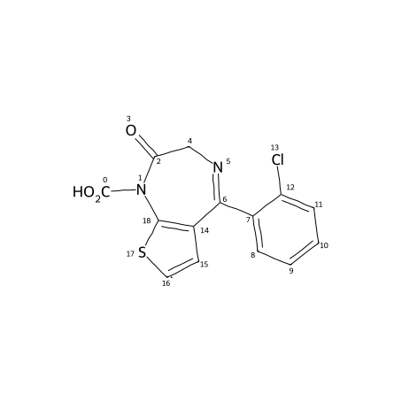 O=C(O)N1C(=O)CN=C(c2ccccc2Cl)c2c[c]sc21